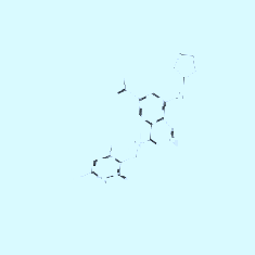 C=C(C)c1cc(NC2CCCC2)c(C=N)c(C(=O)NCc2c(C)cc(C)[nH]c2=O)c1